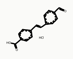 Cl.O=Cc1ccc(C=Cc2ccc(C(=O)O)cc2)cc1